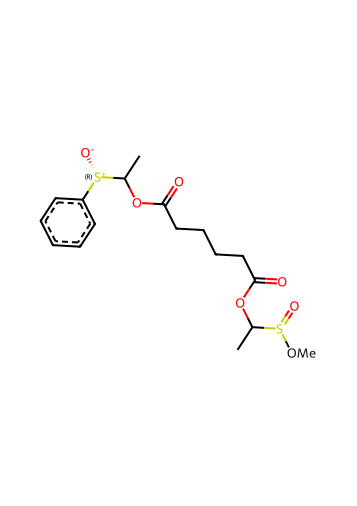 COS(=O)C(C)OC(=O)CCCCC(=O)OC(C)[S@@+]([O-])c1ccccc1